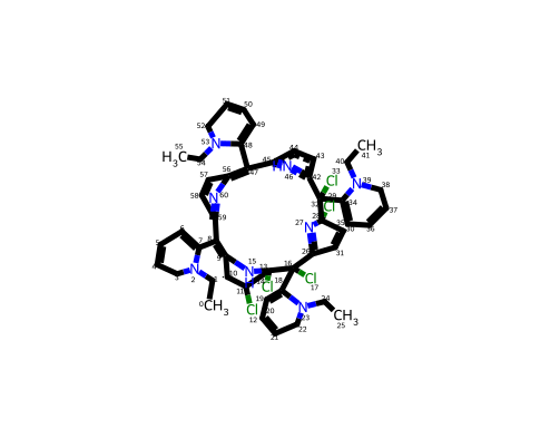 CCN1CC=CC=C1C1=C2[CH]C(Cl)C(Cl)(N2)C(Cl)(C2=CC=CCN2CC)C2=NC(Cl)(C=C2)C(Cl)(C2=CC=CCN2CC)c2ccc([nH]2)C(C2=CC=CCN2CC)=C2C=CC1=N2